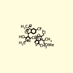 COCC(C)N(C(=O)CCl)c1c(C)csc1C.Cc1nn(C)c(O)c1C(=O)c1ccc(C(F)(F)F)cc1S(C)(=O)=O